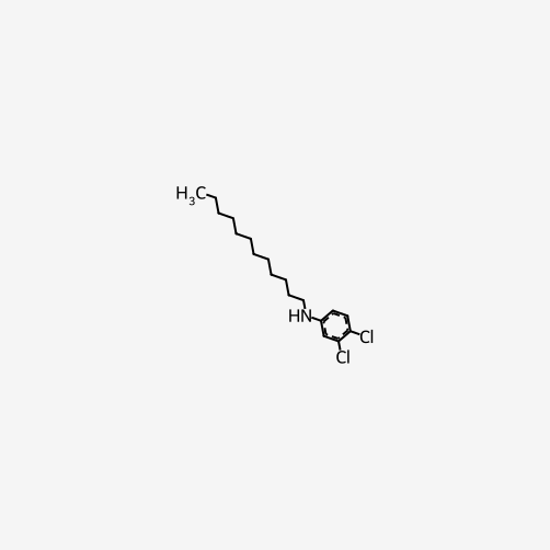 CCCCCCCCCCCCNc1ccc(Cl)c(Cl)c1